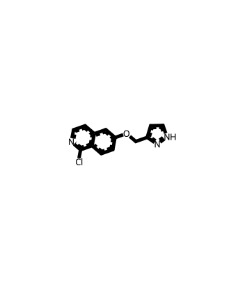 Clc1nccc2cc(OCc3cc[nH]n3)ccc12